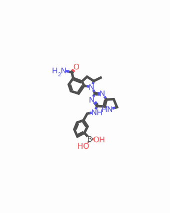 CC1Cc2c(C(N)=O)cccc2N1c1nc2c(c(NCc3cccc(B(O)O)c3)n1)NCC2